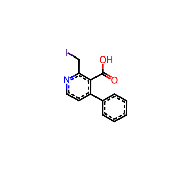 O=C(O)c1c(-c2ccccc2)ccnc1CI